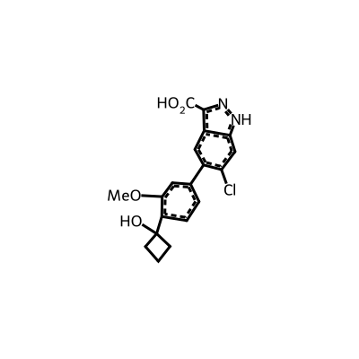 COc1cc(-c2cc3c(C(=O)O)n[nH]c3cc2Cl)ccc1C1(O)CCC1